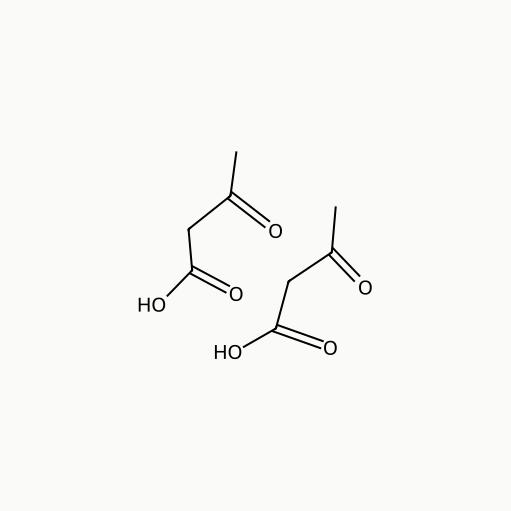 CC(=O)CC(=O)O.CC(=O)CC(=O)O